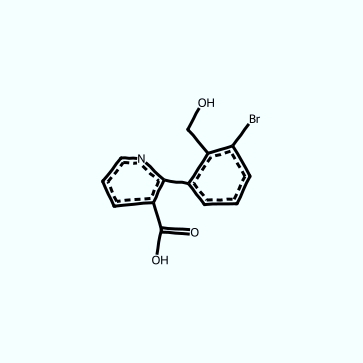 O=C(O)c1cccnc1-c1cccc(Br)c1CO